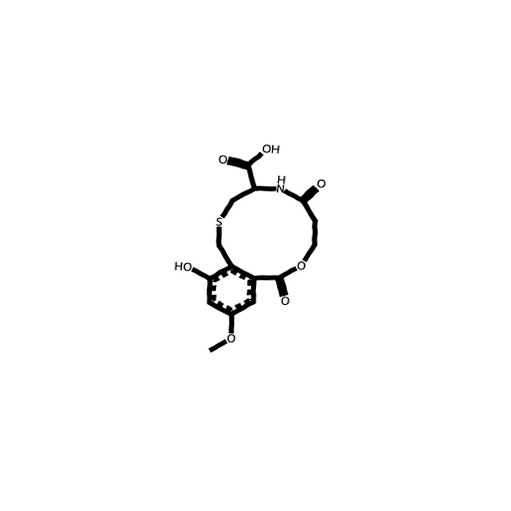 COc1cc(O)c2c(c1)C(=O)OCCC(=O)NC(C(=O)O)CSC2